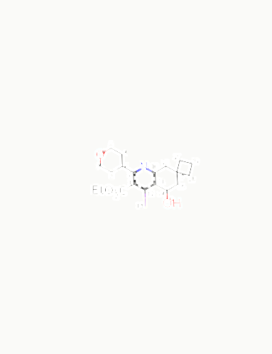 CCOC(=O)c1c(C2CCOCC2)nc2c(c1I)C(O)CC1(CCC1)C2